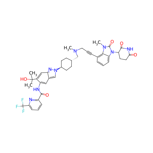 CN(CC#Cc1cccc2c1n(C)c(=O)n2C1CCC(=O)NC1=O)C[C@H]1CC[C@H](n2cc3cc(NC(=O)c4cccc(C(F)(F)F)n4)c(C(C)(C)O)cc3n2)CC1